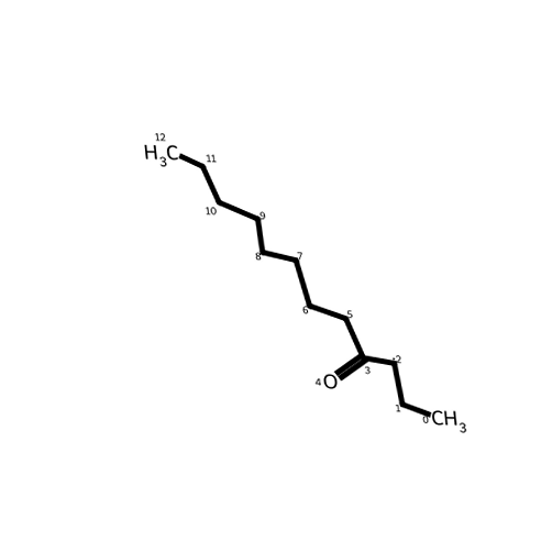 CC[CH]C(=O)CCCCCCCC